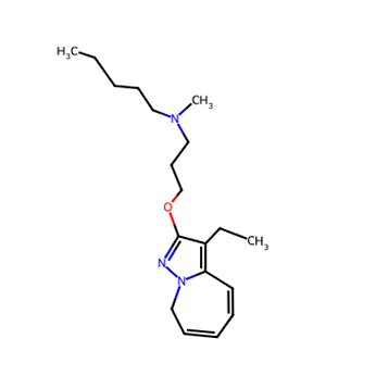 CCCCCN(C)CCCOc1nn2c(c1CC)C=CC=CC2